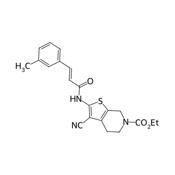 CCOC(=O)N1CCc2c(sc(NC(=O)C=Cc3cccc(C)c3)c2C#N)C1